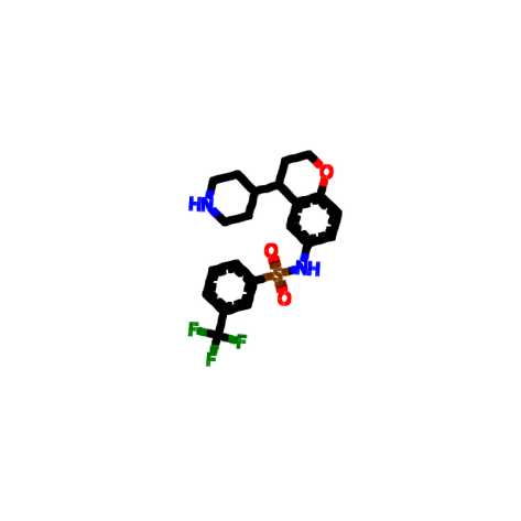 O=S(=O)(Nc1ccc2c(c1)C(C1CCNCC1)CCO2)c1cccc(C(F)(F)F)c1